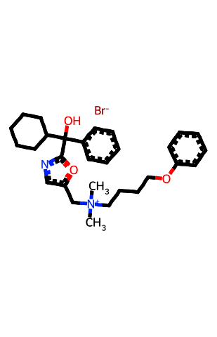 C[N+](C)(CCCCOc1ccccc1)Cc1cnc(C(O)(c2ccccc2)C2CCCCC2)o1.[Br-]